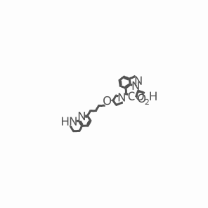 O=C(O)C(c1cccc2cnn(C3COC3)c12)N1CC[C@@H](OCCCCc2ccc3c(n2)NCCC3)C1